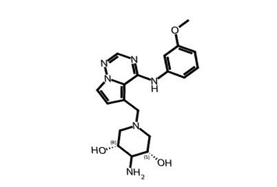 COc1cccc(Nc2ncnn3ccc(CN4C[C@@H](O)C(N)[C@@H](O)C4)c23)c1